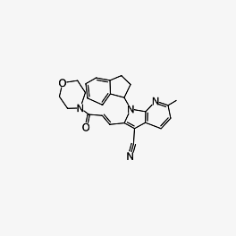 Cc1ccc2c(C#N)c(C=CC(=O)N3CCOCC3)n(C3CCc4ccccc43)c2n1